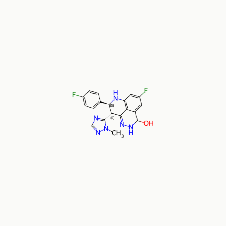 Cn1ncnc1[C@H]1C2=NNC(O)c3cc(F)cc(c32)N[C@@H]1c1ccc(F)cc1